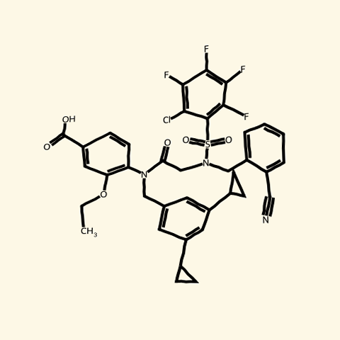 CCOc1cc(C(=O)O)ccc1N(Cc1cc(C2CC2)cc(C2CC2)c1)C(=O)CN(Cc1ccccc1C#N)S(=O)(=O)c1c(F)c(F)c(F)c(F)c1Cl